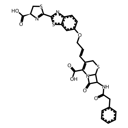 O=C(Cc1ccccc1)NC1C(=O)N2C(C(=O)O)=C(/C=C/COc3ccc4nc(C5=N[C@@H](C(=O)O)CS5)sc4c3)CSC12